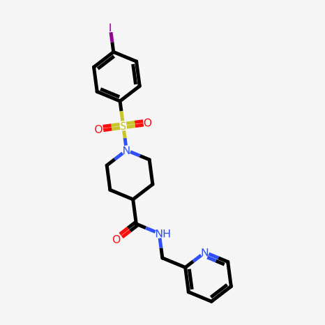 O=C(NCc1ccccn1)C1CCN(S(=O)(=O)c2ccc(I)cc2)CC1